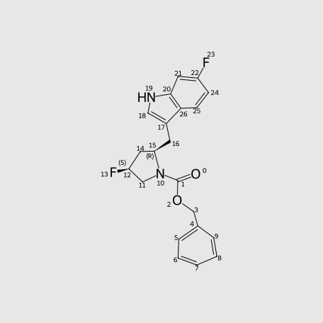 O=C(OCc1ccccc1)N1C[C@@H](F)C[C@H]1Cc1c[nH]c2cc(F)ccc12